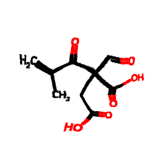 C=C(C)C(=O)C(C=O)(CC(=O)O)C(=O)O